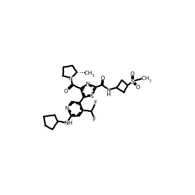 C[C@H]1CCCN1C(=O)c1nc(C(=O)NC2CC(S(C)(=O)=O)C2)sc1-c1cnc(NC2CCCC2)cc1C(F)F